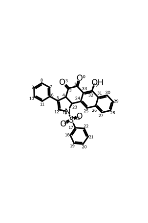 O=C1C(=O)C2C(c3ccccc3)=CN(S(=O)(=O)c3ccccc3)C2c2cc3ccccc3c(O)c21